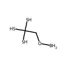 BOCC(S)(S)S